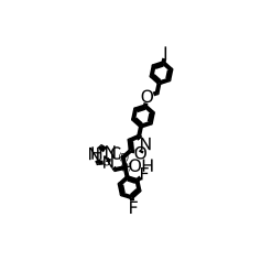 C[C@@H](c1cc(-c2ccc(OCc3ccc(I)cc3)cc2)no1)[C@](O)(Cn1cncn1)c1ccc(F)cc1F